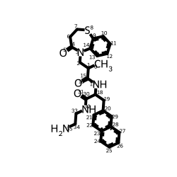 CC(CN1C(=O)CCSc2ccccc21)C(=O)NC(Cc1ccc2ccccc2c1)C(=O)NCCN